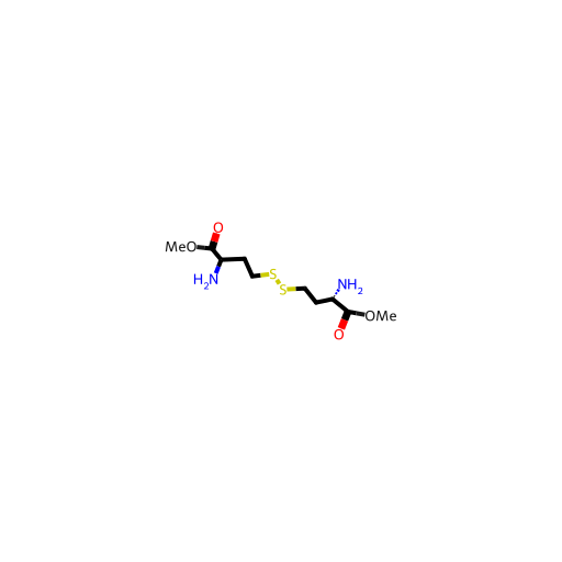 COC(=O)C(N)CCSSCC[C@H](N)C(=O)OC